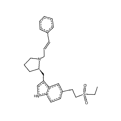 CCS(=O)(=O)CCc1ccc2[nH]cc(C[C@H]3CCCN3C/C=C/c3ccccc3)c2c1